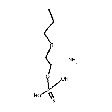 CCCOCCOP(O)(O)=S.N